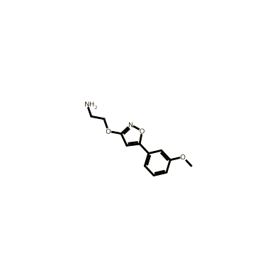 COc1cccc(-c2cc(OCCN)no2)c1